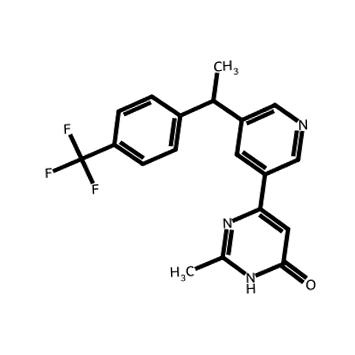 Cc1nc(-c2cncc(C(C)c3ccc(C(F)(F)F)cc3)c2)cc(=O)[nH]1